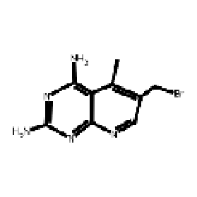 Cc1c(CBr)cnc2nc(N)nc(N)c12